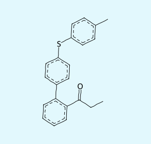 CCC(=O)c1ccccc1-c1ccc(Sc2ccc(C)cc2)cc1